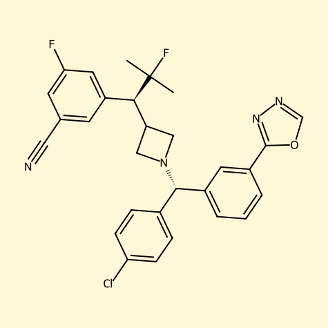 CC(C)(F)[C@H](c1cc(F)cc(C#N)c1)C1CN([C@@H](c2ccc(Cl)cc2)c2cccc(-c3nnco3)c2)C1